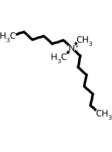 CCCCCCC[N+](C)(C)CCCCCC